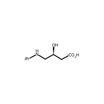 CC(C)NC[C@@H](O)CC(=O)O